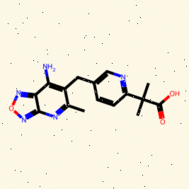 Cc1nc2nonc2c(N)c1Cc1ccc(C(C)(C)C(=O)O)nc1